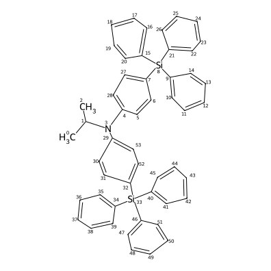 CC(C)N(c1ccc([Si](c2ccccc2)(c2ccccc2)c2ccccc2)cc1)c1ccc([Si](c2ccccc2)(c2ccccc2)c2ccccc2)cc1